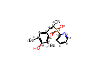 CC(C)(C)c1cc(C=C(C#N)S(=O)(=O)c2ccccn2)cc(C(C)(C)C)c1O